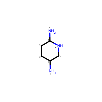 NC1CCC(N)NC1